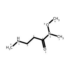 CNCCC(=O)N(C)OC